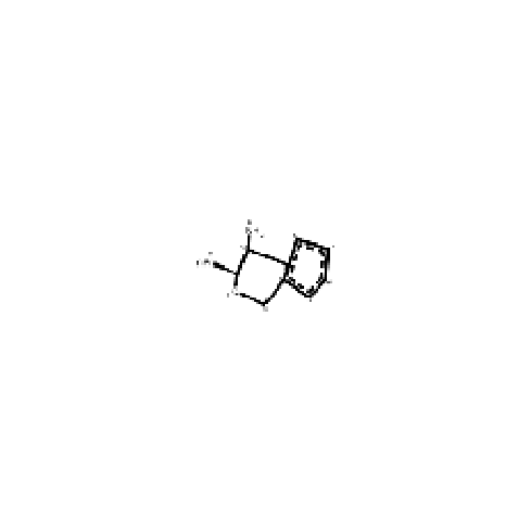 CCC[C@@H]1OCc2ccccc2C1N